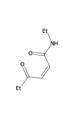 CCNC(=O)/C=C\C(=O)CC